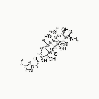 CCc1cnn(CC(=O)NC2=C(O)C3C(=O)C4=C(O)[C@]5(O)C(=O)C(C(N)=O)=C(O)[C@@H](N(C)C)C5C(O)C4C(C)C3C=C2)c1